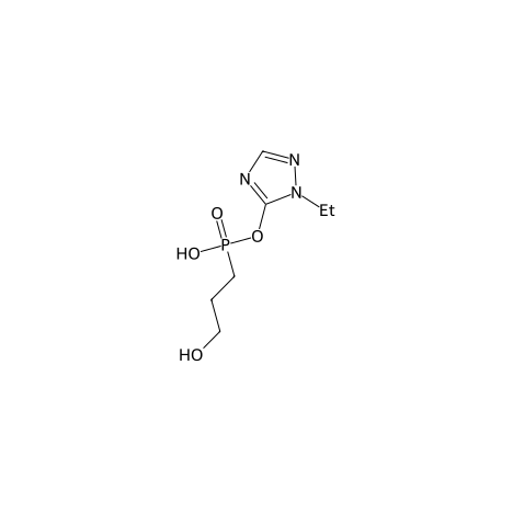 CCn1ncnc1OP(=O)(O)CCCO